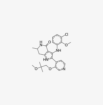 COc1c(Cl)cccc1Nc1c(-c2ccncc2OCC(C)(C)OC)[nH]c2c1C(=O)NC(C)C2